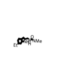 CCc1ccc2cc(CNC(=O)NC)[nH]c2c1